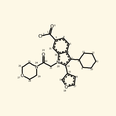 O=C(Cl)c1ccc2c(C3CCCCC3)c(-c3ccoc3)n(CC(=O)N3CCOCC3)c2c1